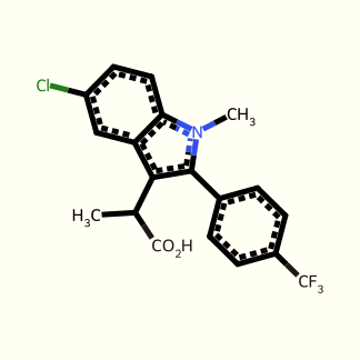 CC(C(=O)O)c1c(-c2ccc(C(F)(F)F)cc2)n(C)c2ccc(Cl)cc12